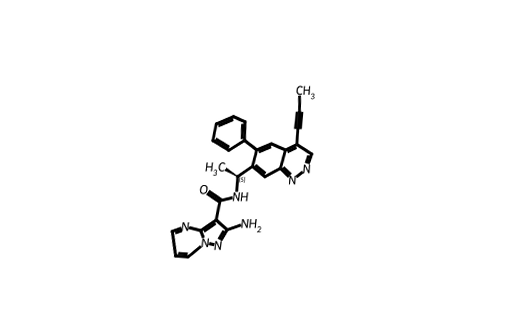 CC#Cc1cnnc2cc([C@H](C)NC(=O)c3c(N)nn4cccnc34)c(-c3ccccc3)cc12